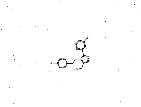 OCc1cnc(-c2cc(Br)ccn2)n1CCc1ccc(F)cc1